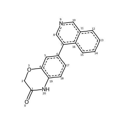 O=C1COc2cc(-c3cncc4ccccc34)ccc2N1